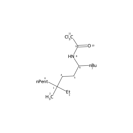 CCCCCC(C)(CC)CCC(CCCC)NC(=O)C(Cl)(Cl)Cl